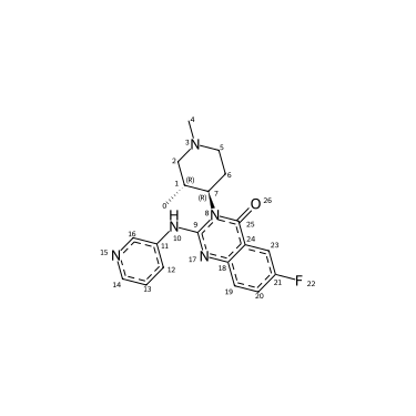 C[C@@H]1CN(C)CC[C@H]1n1c(Nc2cccnc2)nc2ccc(F)cc2c1=O